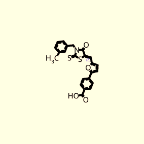 Cc1cccc(CN2C(=O)/C(=C/c3ccc(-c4ccc(C(=O)O)cc4)o3)SC2=S)c1